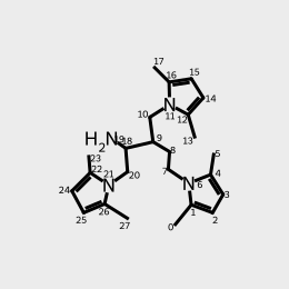 Cc1ccc(C)n1CCC(Cn1c(C)ccc1C)C(N)Cn1c(C)ccc1C